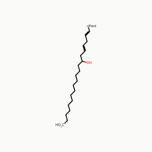 CCCCCC=CCC=CCC(O)CCCCCCCCCCCCC(=O)O